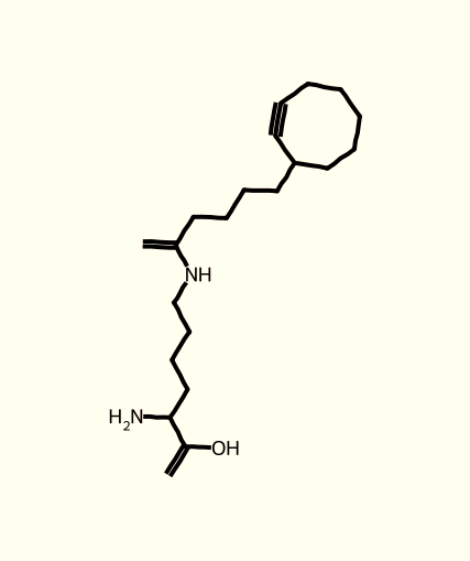 C=C(CCCCC1C#CCCCCC1)NCCCCC(N)C(=C)O